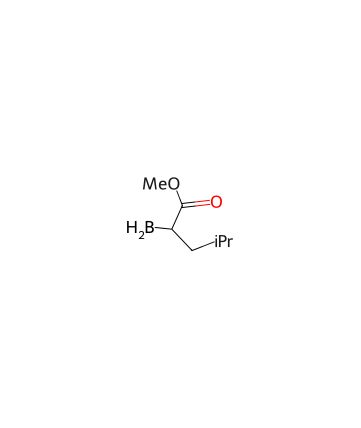 BC(CC(C)C)C(=O)OC